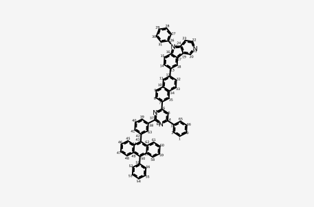 c1ccc(-c2cc(-c3ccc4cc(-c5ccc6c(c5)c5cnccc5n6-c5ccccc5)ccc4c3)nc(-c3cccc(-c4c5ccccc5c(-c5ccccc5)c5ccccc45)c3)n2)cc1